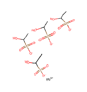 CC(O)S(=O)(=O)[O-].CC(O)S(=O)(=O)[O-].CC(O)S(=O)(=O)[O-].CC(O)S(=O)(=O)[O-].[Pb+4]